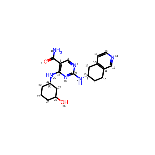 NC(=O)c1cnc(N[C@H]2CCc3cnccc3C2)nc1N[C@@H]1CCCC(O)C1